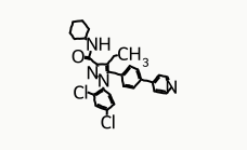 CCc1c(C(=O)NC2CCCCC2)nn(-c2ccc(Cl)cc2Cl)c1-c1ccc(-c2ccncc2)cc1